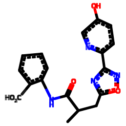 CC(Cc1nc(-c2ccc(O)cn2)no1)C(=O)Nc1ccccc1C(=O)O